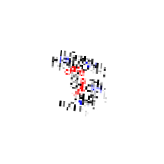 CC(C)C1CC(OC(=O)c2cc3ccc(C(=O)OC4CC(C(C)C)NC(C)(C)C4)c(C(=O)OC4CC(C(C)C)NC(C)(C)C4)c3cc2C(=O)OC2CC(C(C)C)NC(C)(C)C2)CC(C)(C)N1